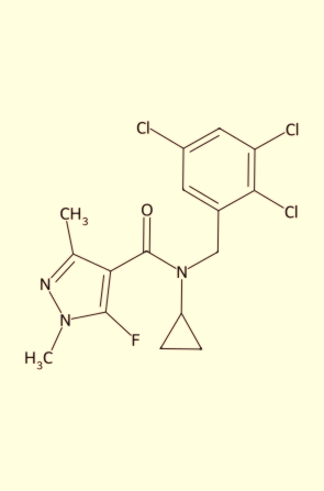 Cc1nn(C)c(F)c1C(=O)N(Cc1cc(Cl)cc(Cl)c1Cl)C1CC1